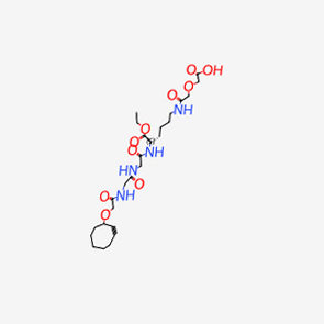 CCOC(=O)[C@H](CCCCNC(=O)COCC(=O)O)NC(=O)CNC(=O)CNC(=O)COC1C#CCCCCC1